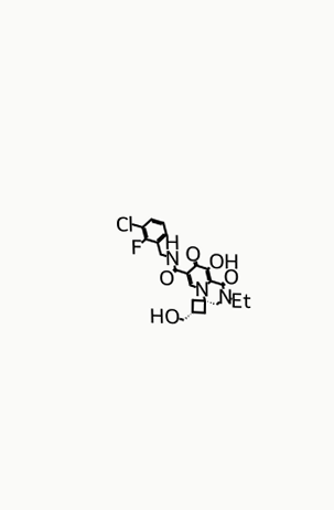 CCN1C[C@]2(C[C@@H](CO)C2)n2cc(C(=O)NCc3cccc(Cl)c3F)c(=O)c(O)c2C1=O